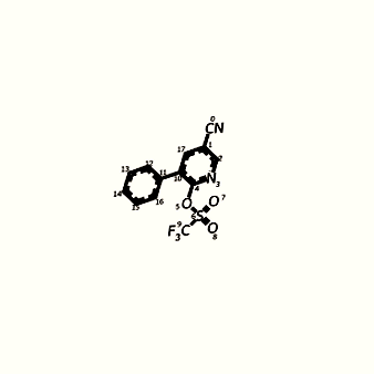 N#Cc1cnc(OS(=O)(=O)C(F)(F)F)c(-c2ccccc2)c1